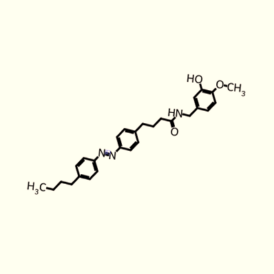 CCCCc1ccc(/N=N/c2ccc(CCCC(=O)NCc3ccc(OC)c(O)c3)cc2)cc1